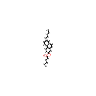 CCCCCC(=O)O[C@H]1CCC2C(CCC3C[C@@H](CCCCC)CCC32)C1